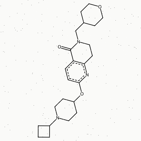 O=C1c2ccc(OC3CCN(C4CCC4)CC3)nc2CCN1CC1CCOCC1